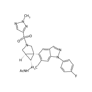 CC(=O)NC[C@@H]1[C@H]2CN(S(=O)(=O)c3cnn(C)n3)C[C@@]12c1cc2cnn(-c3ccc(F)cc3)c2cc1C